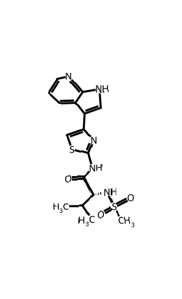 CC(C)[C@@H](NS(C)(=O)=O)C(=O)Nc1nc(-c2c[nH]c3ncccc23)cs1